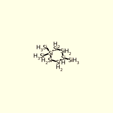 [SiH3][SiH]1[SiH2][SiH2][Si]([SiH3])([SiH3])[SiH2][SiH2]1